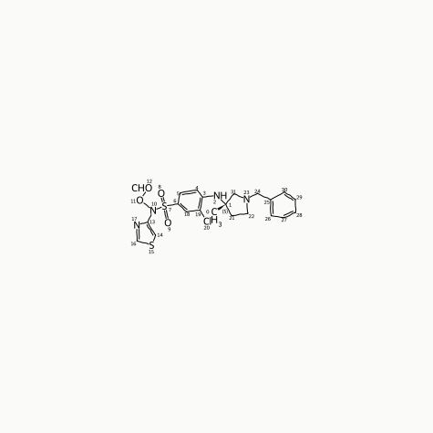 C[C@]1(Nc2ccc(S(=O)(=O)N(OC=O)c3cscn3)cc2Cl)CCN(Cc2ccccc2)C1